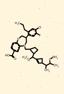 CCCc1cc(Cl)c(F)cc1C1COc2ccc(C(=O)O)cc2N(CC2CCC2C(OC)C2=CC(C(C)C(C)SN)C2)C1